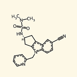 CN(C)S(=O)(=O)N[C@@H]1Cc2c(n(Cc3ccccn3)c3ccc(C#N)cc23)C1